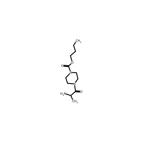 CCCCOC(=O)N1CCN(C(=O)C(C)N)CC1